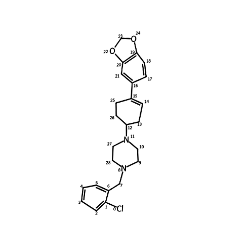 Clc1ccccc1CN1CCN(C2CC=C(c3ccc4c(c3)OCO4)CC2)CC1